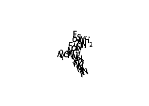 C[C@H]1CN2CCC[C@@]2(COc2nc3c4c(c(Cl)c(-c5ccc(F)c6sc(N)c(C#N)c56)c(F)c4n2)OCC[C@H]2CC4(CCN4C(=O)n4cnc(F)n4)CN32)C1